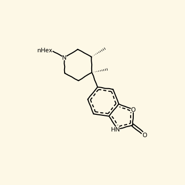 CCCCCCN1CC[C@](C)(c2ccc3[nH]c(=O)oc3c2)[C@@H](C)C1